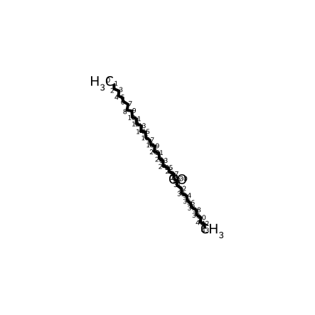 CCCCCCCCCCCCCCCCCCCCCCCCCCCCOC(=O)CCCCCCCCCCCCC